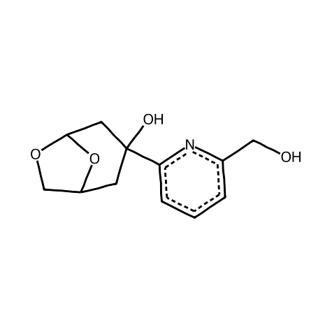 OCc1cccc(C2(O)CC3COC(C2)O3)n1